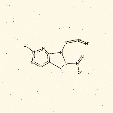 [N-]=[N+]=NN1c2n[n+]([O-])ncc2CN1[N+](=O)[O-]